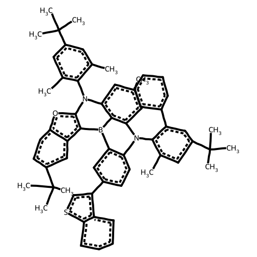 Cc1cc2c3c(c1)N(c1c(C)cc(C(C)(C)C)cc1C)c1oc4ccc(C(C)(C)C)cc4c1B3c1cc(-c3csc4ccccc34)ccc1N2c1c(C)cc(C(C)(C)C)cc1-c1ccccc1